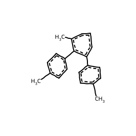 Cc1ccc(-c2cccc(C)c2-c2ccc(C)cc2)cc1